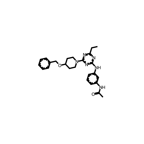 CCc1nc(Nc2cccc(NC(C)=O)c2)nc(N2CCC(OCc3ccccc3)CC2)n1